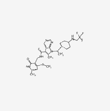 CSc1cc(C)[nH]c(=O)c1CNC(=O)c1c(C)n(C(C)C2CCC(NCC(F)(F)F)CC2)c2ncncc12